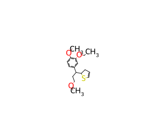 CCOc1cc(C(CCOC)C2CC=CS2)ccc1OC